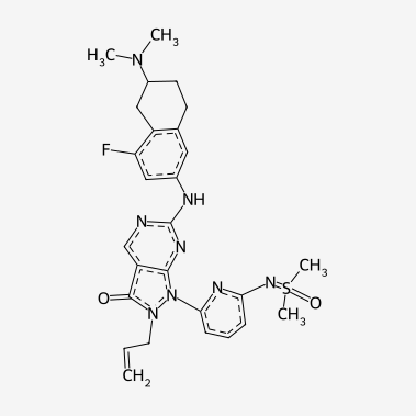 C=CCn1c(=O)c2cnc(Nc3cc(F)c4c(c3)CCC(N(C)C)C4)nc2n1-c1cccc(N=S(C)(C)=O)n1